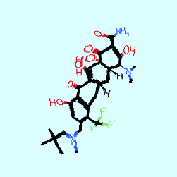 CN(Cc1cc(O)c2c(c1C(F)(F)F)C[C@H]1C[C@H]3[C@H](N(C)C)C(O)=C(C(N)=O)C(=O)[C@@]3(O)C(O)=C1C2=O)CC(C)(C)C